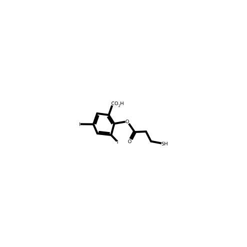 O=C(CCS)Oc1c(I)cc(I)cc1C(=O)O